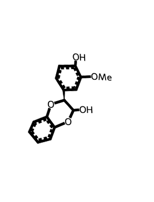 COc1cc([C@@H]2Oc3ccccc3OC2O)ccc1O